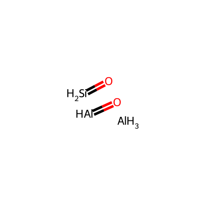 O=[SiH2].[AlH3].[O]=[AlH]